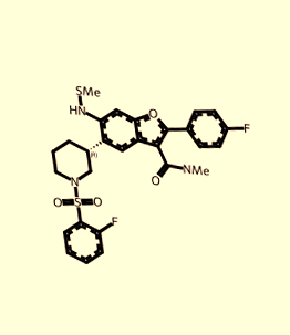 CNC(=O)c1c(-c2ccc(F)cc2)oc2cc(NSC)c([C@H]3CCCN(S(=O)(=O)c4ccccc4F)C3)cc12